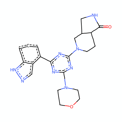 O=C1NCC2CN(c3nc(-c4cccc5[nH]ncc45)nc(N4CCOCC4)n3)CCC12